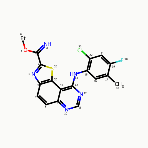 CCOC(=N)c1nc2ccc3ncnc(Nc4cc(C)c(F)cc4Cl)c3c2s1